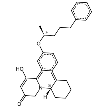 C[C@@H](CCCc1ccccc1)Oc1ccc2c(c1)=C1C(O)=CC(=O)CN1[C@H]1CCCCC=21